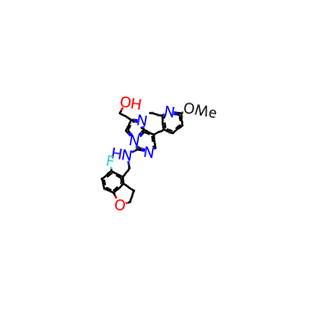 COc1ccc(-c2cnc(NCc3c(F)ccc4c3CCO4)n3cc(CO)nc23)c(C)n1